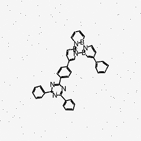 C1=CB2N(C=C1)B1C=CC(c3ccc(-c4nc(-c5ccccc5)nc(-c5ccccc5)n4)cc3)=CN1B1C=C(c3ccccc3)C=CN21